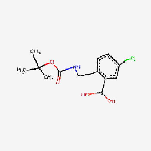 CC(C)(C)OC(=O)NCc1ccc(Cl)cc1B(O)O